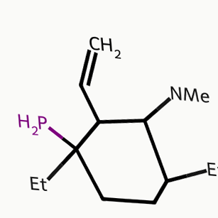 C=CC1C(NC)C(CC)CCC1(P)CC